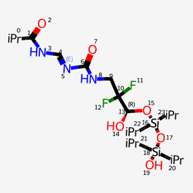 CC(C)C(=O)N/C=N/C(=O)NCC(F)(F)[C@H](O)O[Si](O[Si](O)(C(C)C)C(C)C)(C(C)C)C(C)C